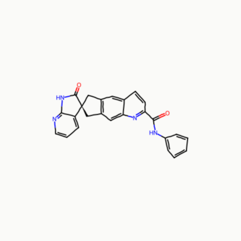 O=C(Nc1ccccc1)c1ccc2cc3c(cc2n1)C[C@]1(C3)C(=O)Nc2ncccc21